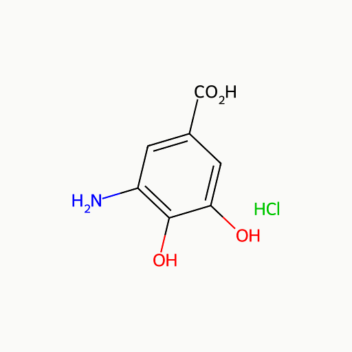 Cl.Nc1cc(C(=O)O)cc(O)c1O